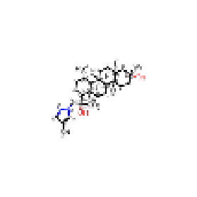 CCC[C@@]1(O)CC[C@H]2[C@H](CC[C@@H]3[C@@H]2CC[C@@]2(C)[C@H]3[C@H](C)CC[C@@H]2[C@](C)(O)Cn2cc(C#N)cn2)C1